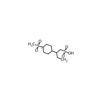 [CH2]CC(CS(=O)(=O)O)C1CCN(S(C)(=O)=O)CC1